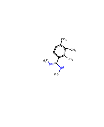 C/N=C(/NC)c1ccc(C)c(C)c1C